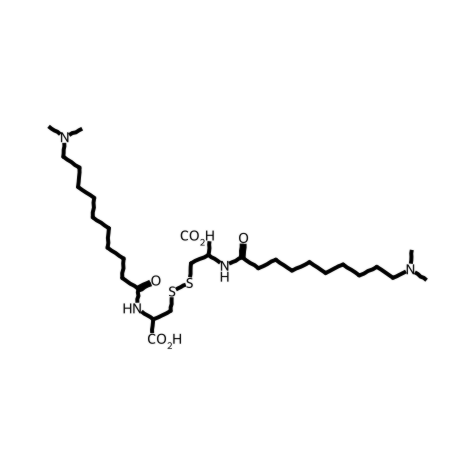 CN(C)CCCCCCCCCC(=O)NC(CSSCC(NC(=O)CCCCCCCCCN(C)C)C(=O)O)C(=O)O